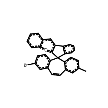 Cc1ccc2c(c1)C=Cc1cc(Br)ccc1C21c2ccccc2-c2cc3ccccc3cc21